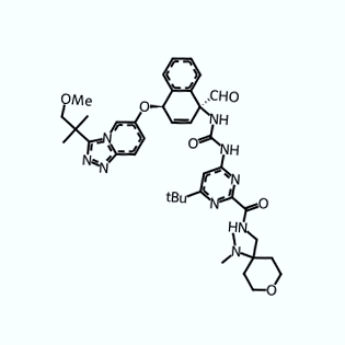 COCC(C)(C)c1nnc2ccc(O[C@@H]3C=C[C@](C=O)(NC(=O)Nc4cc(C(C)(C)C)nc(C(=O)NCC5(N(C)C)CCOCC5)n4)c4ccccc43)cn12